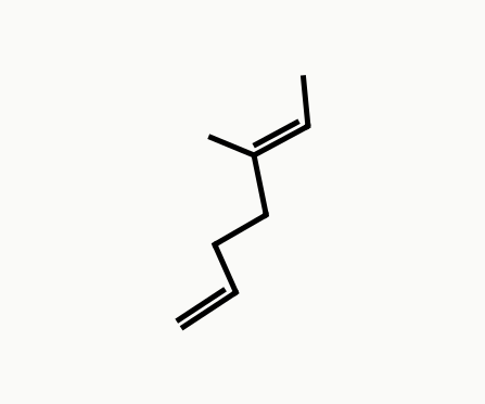 C=CCC/C(C)=C/C